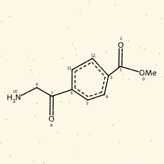 COC(=O)c1ccc(C(=O)CN)cc1